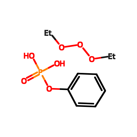 CCOOOCC.O=P(O)(O)Oc1ccccc1